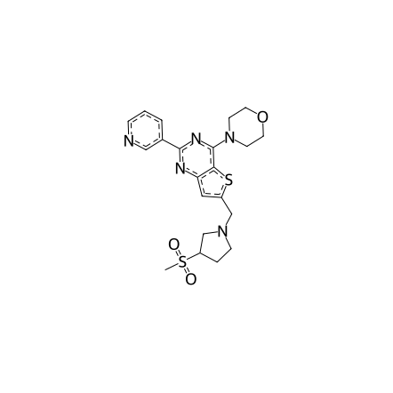 CS(=O)(=O)C1CCN(Cc2cc3nc(-c4cccnc4)nc(N4CCOCC4)c3s2)C1